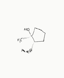 CC(=O)N[C@H]1CCC[C@]1(C)O